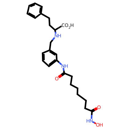 O=C(CCCCCCC(=O)Nc1cccc(CNC(CCc2ccccc2)C(=O)O)c1)NO